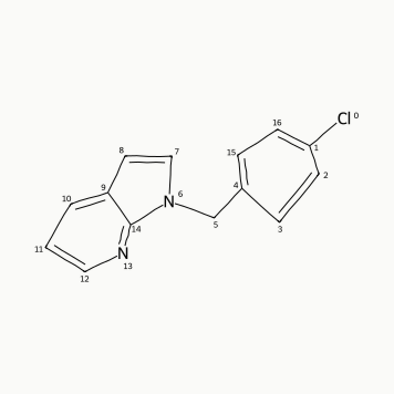 Clc1ccc(Cn2ccc3cccnc32)cc1